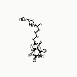 CCCCCCCCCCCNC(C)CCCCc1nc2c(c(=O)[nH]c(=O)n2C)n1C